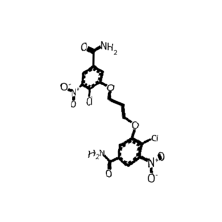 NC(=O)c1cc(OCCCOc2cc(C(N)=O)cc([N+](=O)[O-])c2Cl)c(Cl)c([N+](=O)[O-])c1